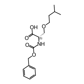 CC(C)CCOC[C@H](NC(=O)OCc1ccccc1)C(=O)O